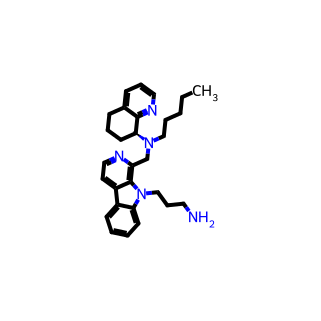 CCCCCN(Cc1nccc2c3ccccc3n(CCCN)c12)[C@H]1CCCc2cccnc21